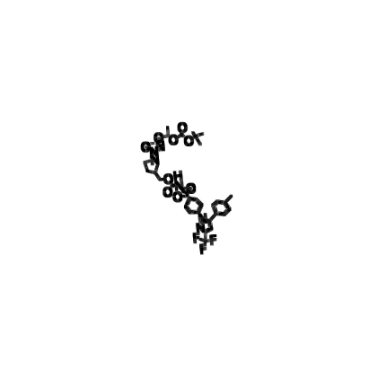 Cc1ccc(-c2cc(C(F)(F)F)nn2-c2ccc(S(=O)(=O)NC(=O)OCC3CCN([N+]([O-])=NOC(C)OC(=O)OC(C)(C)C)C3)cc2)cc1